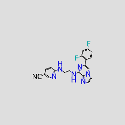 N#Cc1ccc(NCCNc2nc(-c3ccc(F)cc3F)cn3ccnc23)nc1